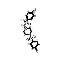 O=S(=O)(N=S1CCN(S(=O)(=O)c2ccc(Cl)cc2)CC1)c1ccc(Cl)cc1